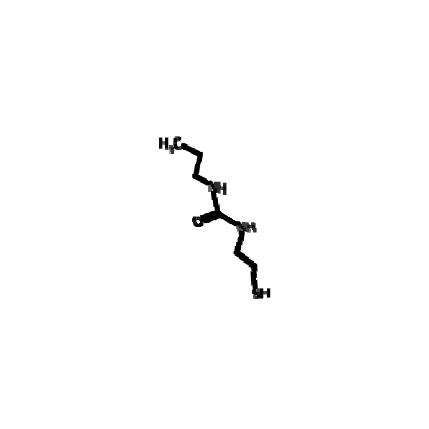 CCCNC(=O)NCCS